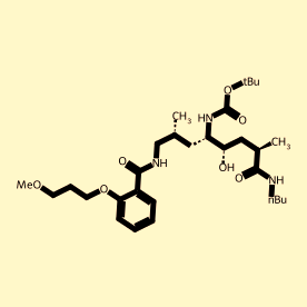 CCCCNC(=O)[C@H](C)C[C@H](O)[C@H](C[C@@H](C)CNC(=O)c1ccccc1OCCCOC)NC(=O)OC(C)(C)C